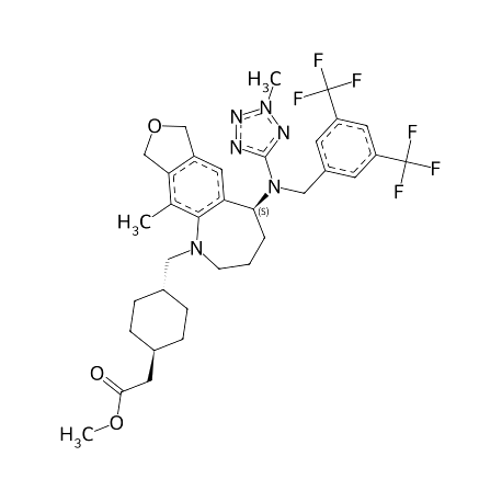 COC(=O)C[C@H]1CC[C@H](CN2CCC[C@H](N(Cc3cc(C(F)(F)F)cc(C(F)(F)F)c3)c3nnn(C)n3)c3cc4c(c(C)c32)COC4)CC1